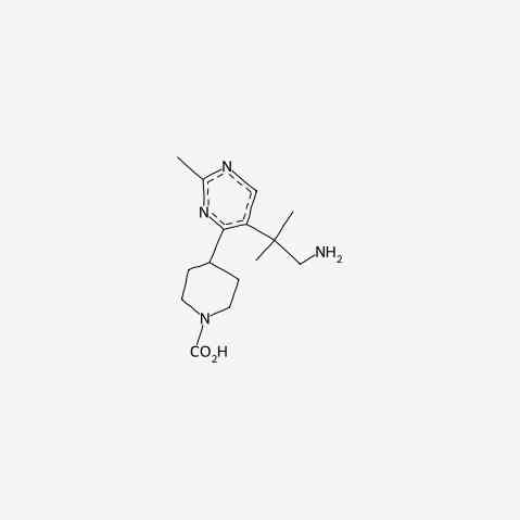 Cc1ncc(C(C)(C)CN)c(C2CCN(C(=O)O)CC2)n1